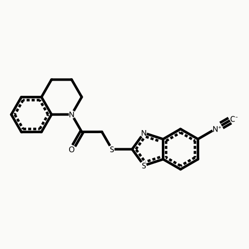 [C-]#[N+]c1ccc2sc(SCC(=O)N3CCCc4ccccc43)nc2c1